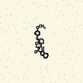 CCN(CC1CCCN(Sc2ccc(OC)cc2)C1)C(=O)c1cc2ccccc2[nH]1